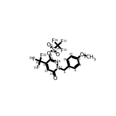 COc1ccc(Cn2nc(OS(=O)(=O)C(F)(F)F)c(C(F)(F)F)cc2=O)cc1